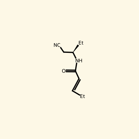 CC/C=C/C(=O)N[C@H](CC)CC#N